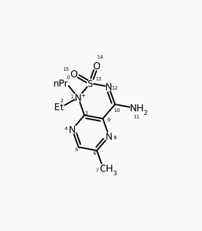 CCC[N+]1(CC)c2ncc(C)nc2C(N)=NS1(=O)=O